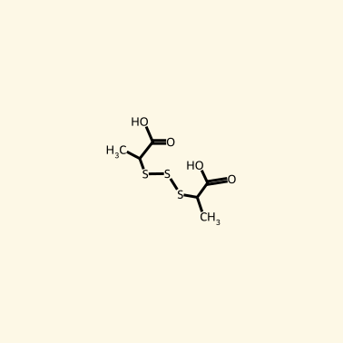 CC(SSSC(C)C(=O)O)C(=O)O